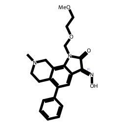 COCCOCN1C(=O)/C(=N/O)c2cc(-c3ccccc3)c3c(c21)CN(C)CC3